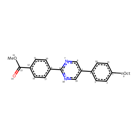 CCCCCCCCc1ccc(-c2cnc(-c3ccc(C(=O)OC)cc3)nc2)cc1